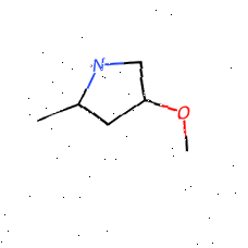 COC1C[N]C(C)C1